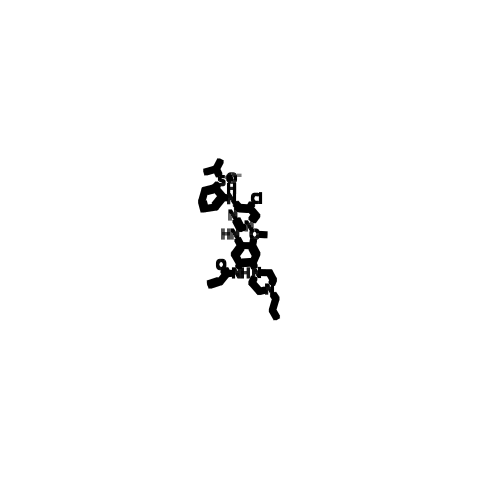 C=CC(=O)Nc1cc(Nc2ncc(Cl)c(Nc3ccccc3[S+]([O-])C(C)C)n2)c(OC)cc1N1CCN(CCC)CC1